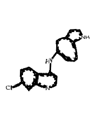 Clc1ccc2c(Nc3ccc4[nH]ccc4c3)ccnc2c1